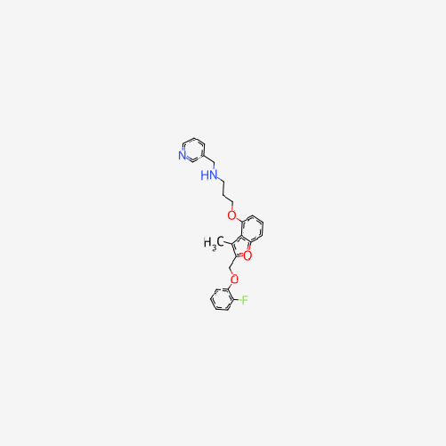 Cc1c(COc2ccccc2F)oc2cccc(OCCCNCc3cccnc3)c12